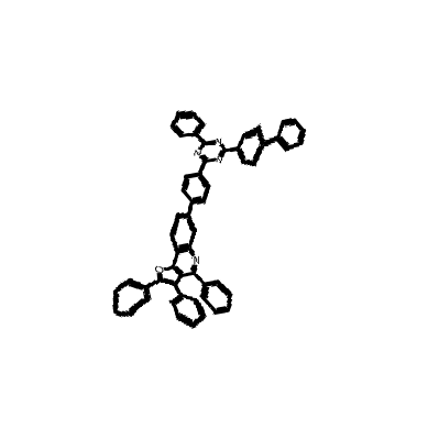 c1ccc(-c2ccc(-c3nc(-c4ccccc4)nc(-c4ccc(-c5ccc6c(c5)nc(-c5ccccc5)c5c(-c7ccccc7)c(-c7ccccc7)oc56)cc4)n3)cc2)cc1